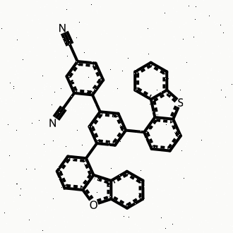 N#Cc1ccc(-c2cc(-c3cccc4oc5ccccc5c34)cc(-c3cccc4sc5ccccc5c34)c2)c(C#N)c1